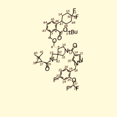 CC(C)(C)OC(=O)c1c(COC[C@@H]2CN(C(=O)c3cnn(Cc4ccc(F)cc4OC(F)F)c3)CC23CN(C(=O)[C@H]2CC2(C)C)C3)cccc1C1CCC(F)(F)CC1